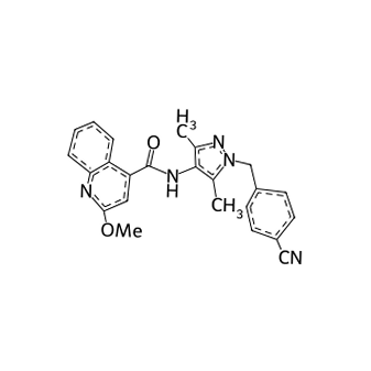 COc1cc(C(=O)Nc2c(C)nn(Cc3ccc(C#N)cc3)c2C)c2ccccc2n1